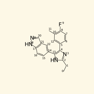 CCc1nc(-c2ccc(F)c(C)c2)c(-c2ccc3[nH]ncc3c2)[nH]1